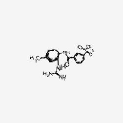 Cc1ccc(NC(=O)c2cccc(S(=O)(=O)C(F)(F)F)c2)c(NC(=N)N)c1